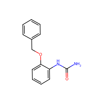 NC(=O)Nc1ccccc1OCc1ccccc1